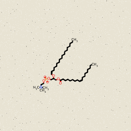 CCCCCCCC/C=C\CCCCCCCC(=O)OCC(COP(=O)([O-])OCC[N+](C)(C)C)O/C=C\CCCCCCCCCCCCCCCC